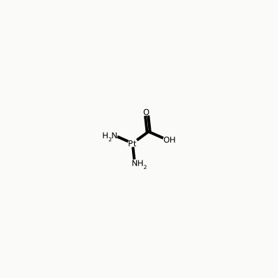 [NH2][Pt]([NH2])[C](=O)O